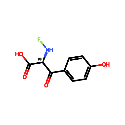 O=C(O)[C@@H](NF)C(=O)c1ccc(O)cc1